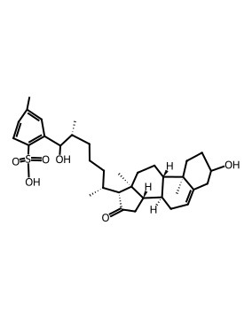 Cc1ccc(S(=O)(=O)O)c(C(O)[C@H](C)CCC[C@@H](C)[C@H]2C(=O)C[C@H]3[C@@H]4CC=C5CC(O)CC[C@]5(C)[C@H]4CC[C@]23C)c1